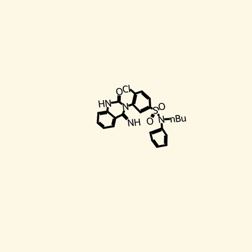 CCCCN(c1ccccc1)S(=O)(=O)c1ccc(Cl)c(-n2c(=O)[nH]c3ccccc3c2=N)c1